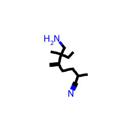 C=C(CCC(C)C#N)C(C)(CC)CN